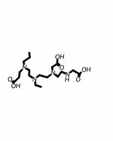 CCCN(CCC(=O)O)CCN(CC)CCN(CCNCC(=O)O)CC(=O)O